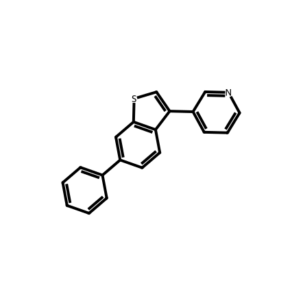 c1ccc(-c2ccc3c(-c4cccnc4)csc3c2)cc1